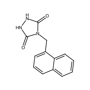 O=c1[nH][nH]c(=O)n1Cc1cccc2ccccc12